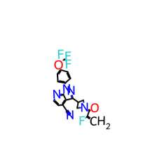 C=C(F)C(=O)N1CC(c2nn(-c3ccc(OC(F)(F)F)cc3)c3nccc(C#N)c23)C1